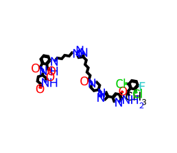 CC(Oc1cc(-c2cnn(C3CCN(C(=O)CCCCCc4cn(CCCCCNc5cccc6c5C(=O)N(C5CCC(=O)NC5=O)C6=O)nn4)CC3)c2)cnc1N)c1c(Cl)ccc(F)c1Cl